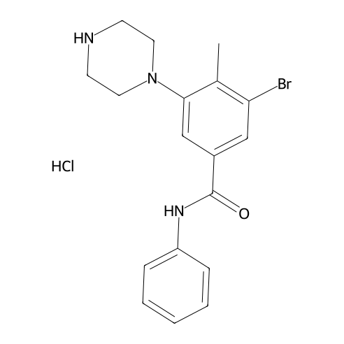 Cc1c(Br)cc(C(=O)Nc2ccccc2)cc1N1CCNCC1.Cl